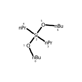 CCCCO[Si](CCC)(CCC)OCCCC